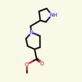 COC(=O)C1CCN(CC2CCNC2)CC1